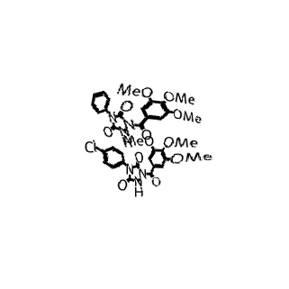 COc1cc(C(=O)n2[nH]c(=O)n(-c3ccc(Cl)cc3)c2=O)cc(OC)c1OC.COc1cc(C(=O)n2[nH]c(=O)n(-c3ccccc3)c2=O)cc(OC)c1OC